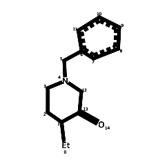 [CH2]CC1CCN(Cc2ccccc2)CC1=O